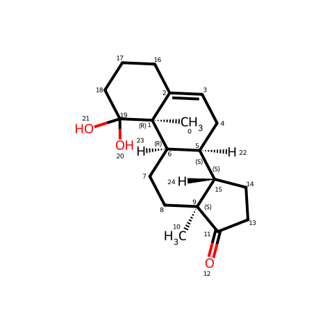 C[C@]12C(=CC[C@@H]3[C@H]1CC[C@]1(C)C(=O)CC[C@@H]31)CCCC2(O)O